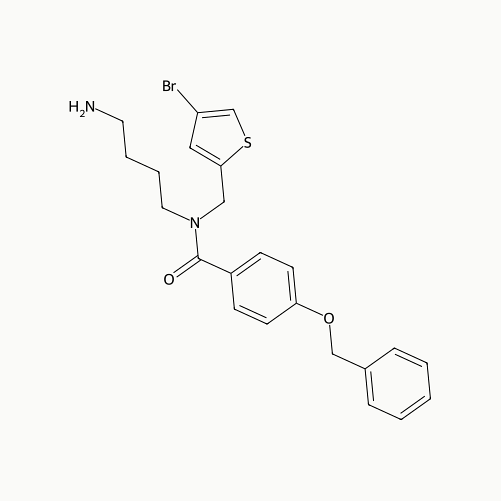 NCCCCN(Cc1cc(Br)cs1)C(=O)c1ccc(OCc2ccccc2)cc1